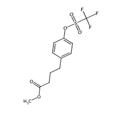 COC(=O)CCCc1ccc(OS(=O)(=O)C(F)(F)F)cc1